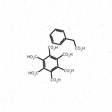 O=C(O)Cc1ccccc1.O=C(O)c1c(C(=O)O)c(C(=O)O)c(C(=O)O)c(C(=O)O)c1C(=O)O